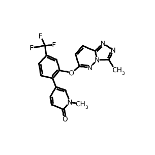 Cc1nnc2ccc(Oc3cc(C(F)(F)F)ccc3-c3ccc(=O)n(C)c3)nn12